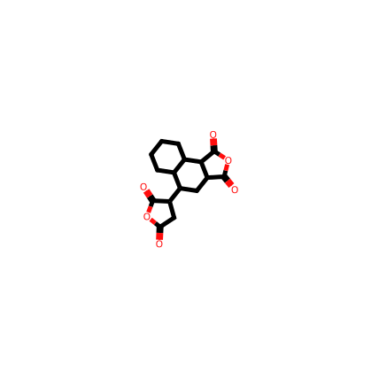 O=C1CC(C2CC3C(=O)OC(=O)C3C3CCCCC23)C(=O)O1